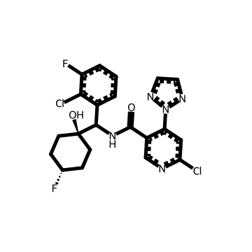 O=C(NC(c1cccc(F)c1Cl)[C@]1(O)CC[C@H](F)CC1)c1cnc(Cl)cc1-n1nccn1